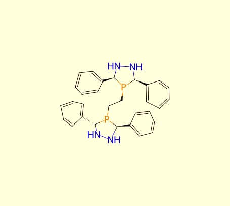 c1ccc([C@H]2NN[C@H](c3ccccc3)P2CC[P@@]2[C@@H](c3ccccc3)NN[C@H]2c2ccccc2)cc1